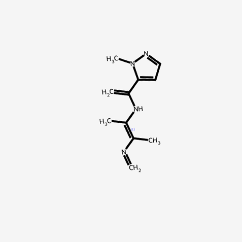 C=N/C(C)=C(\C)NC(=C)c1ccnn1C